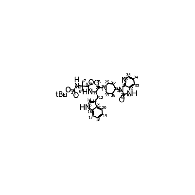 CC(C)(C)OC(=O)NC(C)(C)C(=O)N[C@H](Cc1c[nH]c2ccccc12)C(=O)N1CCC(n2c(=O)[nH]c3cccnc32)CC1